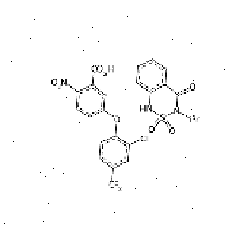 CC(C)N1C(=O)c2ccccc2NS1(=O)=O.O=C(O)c1cc(Oc2ccc(C(F)(F)F)cc2Cl)ccc1[N+](=O)[O-]